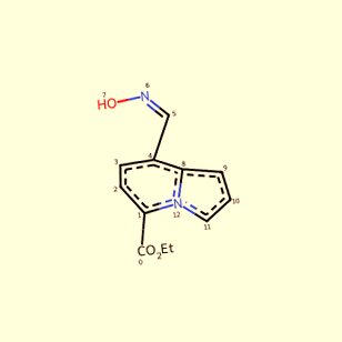 CCOC(=O)c1ccc(/C=N\O)c2cccn12